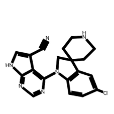 N#Cc1c[nH]c2ncnc(N3CC4(CCNCC4)c4cc(Cl)ccc43)c12